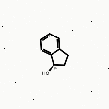 O[C@@H]1[CH]Cc2ccccc21